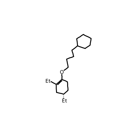 CCC1=C(OCCCCC2CCCCC2)CC[C@H](CC)C1